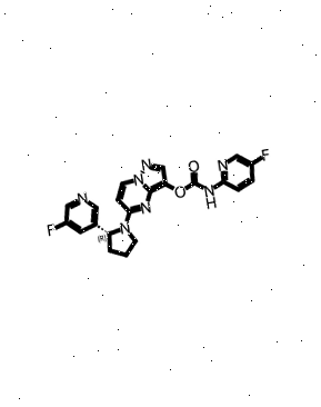 O=C(Nc1ccc(F)cn1)Oc1cnn2ccc(N3CCC[C@@H]3c3cncc(F)c3)nc12